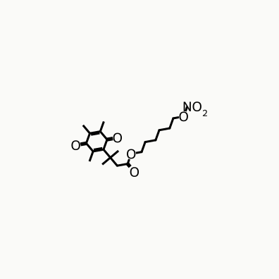 CC1=C(C)C(=O)C(C(C)(C)CC(=O)OCCCCCCO[N+](=O)[O-])=C(C)C1=O